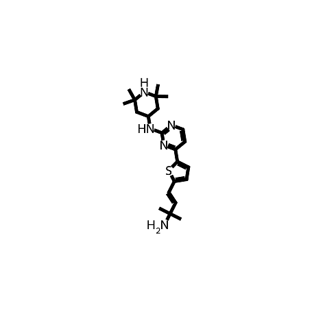 CC(C)(N)/C=C/c1ccc(-c2ccnc(NC3CC(C)(C)NC(C)(C)C3)n2)s1